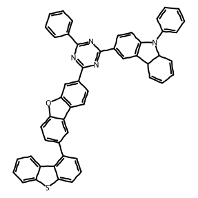 C1=CC2c3cc(-c4nc(-c5ccccc5)nc(-c5ccc6c(c5)oc5ccc(-c7cccc8sc9ccccc9c78)cc56)n4)ccc3N(c3ccccc3)C2C=C1